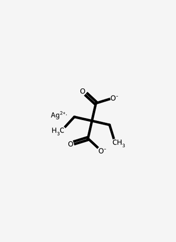 CCC(CC)(C(=O)[O-])C(=O)[O-].[Ag+2]